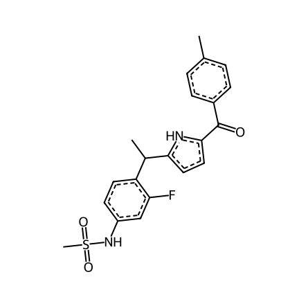 Cc1ccc(C(=O)c2ccc(C(C)c3ccc(NS(C)(=O)=O)cc3F)[nH]2)cc1